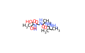 CC[C@H](C)[C@H](N)C(=O)N[C@@H](C)C(=O)NCC(=O)N[C@H](C(=O)O)[C@@H](C)O